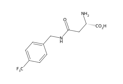 N[C@@H](CC(=O)NCc1ccc(C(F)(F)F)cc1)C(=O)O